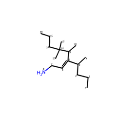 CCCC(C)/C(=C/CN)C(C)C(C)(C)CCC